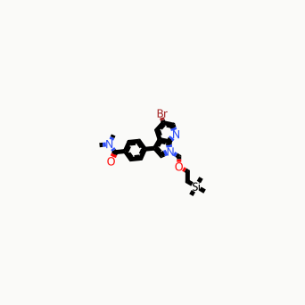 CN(C)C(=O)c1ccc(-c2cn(COCC[Si](C)(C)C)c3ncc(Br)cc23)cc1